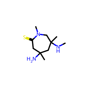 CNC1(C)CN(C)C(=S)CC(C)(N)C1